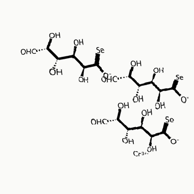 O=C[C@H](O)[C@@H](O)[C@@H](O)[C@H](O)C([O-])=[Se].O=C[C@H](O)[C@@H](O)[C@@H](O)[C@H](O)C([O-])=[Se].O=C[C@H](O)[C@@H](O)[C@@H](O)[C@H](O)C([O-])=[Se].[Cr+3]